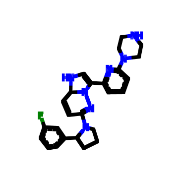 Fc1cccc(C2CCCN2C2=NN3C(c4cccc(N5CCNCC5)n4)=CNC3C=C2)c1